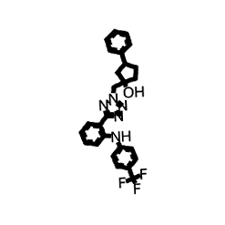 OC1(Cn2nnc(-c3ccccc3Nc3ccc(C(F)(F)F)cc3)n2)CCC(c2ccccc2)C1